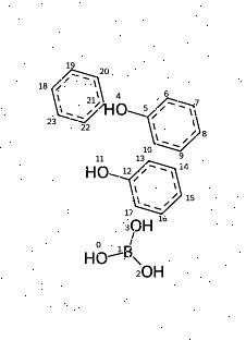 OB(O)O.Oc1ccccc1.Oc1ccccc1.c1ccccc1